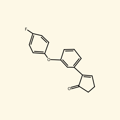 O=C1CCC=C1c1cccc(Oc2ccc(F)cc2)c1